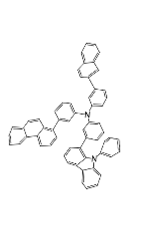 c1ccc(-n2c3ccccc3c3cccc(-c4cccc(N(c5cccc(-c6ccc7ccccc7c6)c5)c5cccc(-c6cccc7c6ccc6ccccc67)c5)c4)c32)cc1